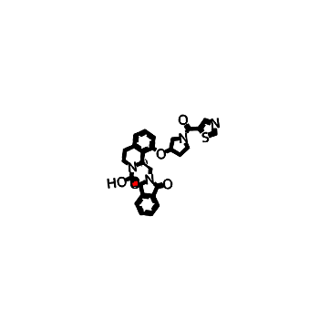 O=C(c1cncs1)N1CCC(Oc2cccc3c2[C@@H](CN2C(=O)c4ccccc4C2=O)N(C(=O)O)CC3)C1